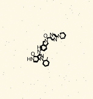 C[C@H]1CCCC[C@@H]1n1nc(Nc2ccc3c(c2)CN(C(=O)c2cnc(N4CCCCC4)cn2)C3)c2c(=O)[nH]ccc21